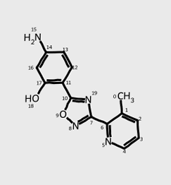 Cc1cccnc1-c1noc(-c2ccc(N)cc2O)n1